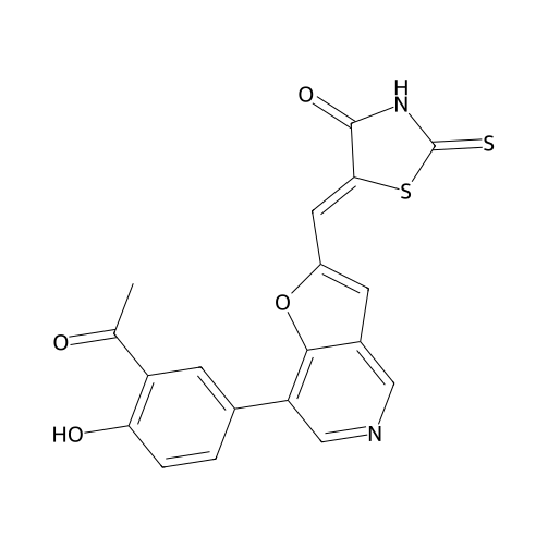 CC(=O)c1cc(-c2cncc3cc(/C=C4\SC(=S)NC4=O)oc23)ccc1O